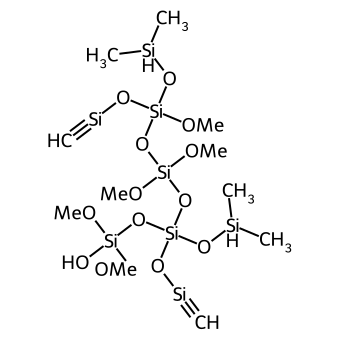 C#[Si]O[Si](OC)(O[SiH](C)C)O[Si](OC)(OC)O[Si](O[Si]#C)(O[SiH](C)C)O[Si](O)(OC)OC